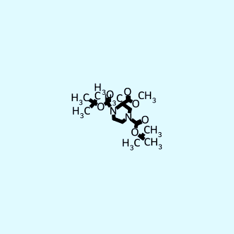 COC(=O)C1(C)CN(C(=O)OC(C)(C)C)CCN1C(=O)OC(C)(C)C